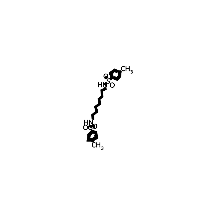 Cc1ccc(S(=O)(=O)NCCCCCCCCCNS(=O)(=O)c2ccc(C)cc2)cc1